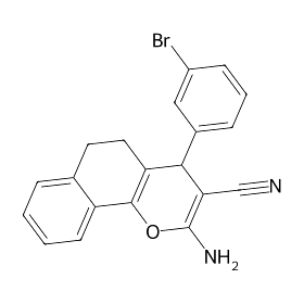 N#CC1=C(N)OC2=C(CCc3ccccc32)C1c1cccc(Br)c1